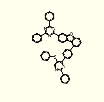 c1ccc(Sc2cnc(-c3ccccc3)nc2-c2ccc(-c3cccc4oc5cc(-c6nc(-c7ccccc7)nc(-c7ccccc7)n6)ccc5c34)cc2)cc1